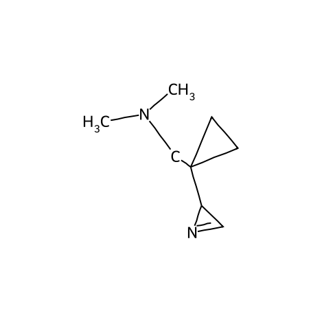 CN(C)CC1(C2C=N2)CC1